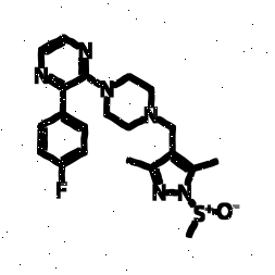 Cc1nn([S+](C)[O-])c(C)c1CN1CCN(c2nccnc2-c2ccc(F)cc2)CC1